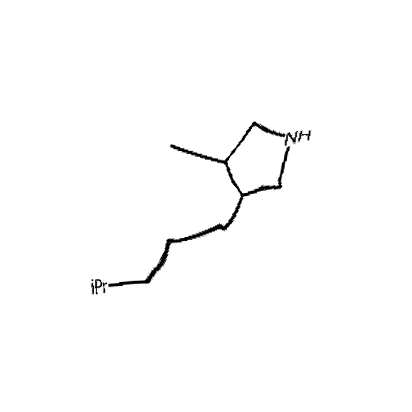 CC(C)CCCC1CNCC1C